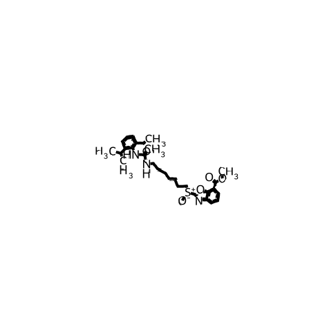 COC(=O)c1cccc2nc([S+]([O-])CCCCCCCNC(=O)Nc3c(C(C)C)cccc3C(C)C)oc12